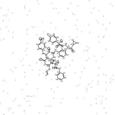 C=CCN1CC(=O)N2[C@@H](Cc3ccc(O)cc3)C(=O)N(Cc3cccc4c3N(S(=O)(=O)c3ccc(C)cc3)CC4C(=O)C3CC3)C[C@@H]2N1C(=O)NCc1ccccc1